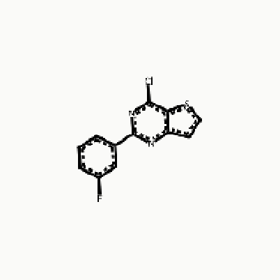 Fc1cccc(-c2nc(Cl)c3sccc3n2)c1